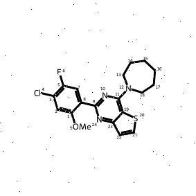 COc1cc(Cl)c(F)cc1-c1nc(N2CCCCCC2)c2sccc2n1